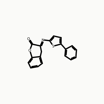 O=C1Oc2ccccc2CC1=Nc1ccc(-c2ccccc2)s1